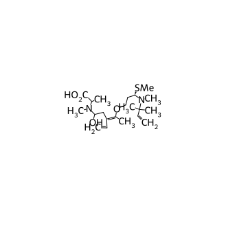 C=C/C(CC(O)N(C)C(C)C(=O)O)=C(\C)OCC[C@@H](SC)N(C)C(C)(C)C=C